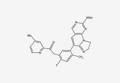 CNc1ncc2c(n1)N1CCN=C1C(c1cc(CC(=O)c3cc(C(C)(C)C)ccn3)c(F)cc1C)=C2